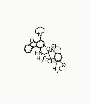 COc1ccc2c(c1)C(C)(C)C1(CNc3c(cc(N4CCCCC4)c4oc5ccccc5c34)O1)N2C